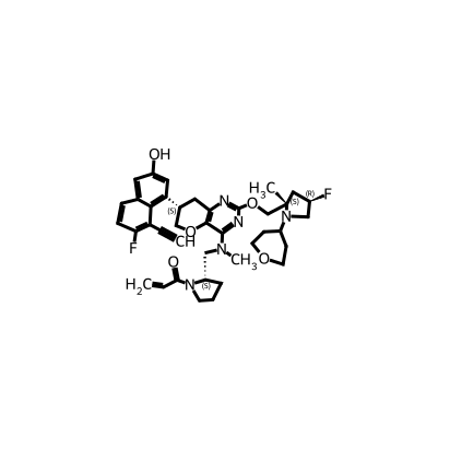 C#Cc1c(F)ccc2cc(O)cc([C@H]3COc4c(nc(OC[C@]5(C)C[C@@H](F)CN5C5CCOCC5)nc4N(C)C[C@@H]4CCCN4C(=O)C=C)C3)c12